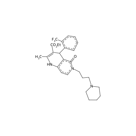 CCOC(=O)C1=C(C)Nc2ccn(CCCN3CCCCC3)c(=O)c2C1c1ccccc1C(F)(F)F